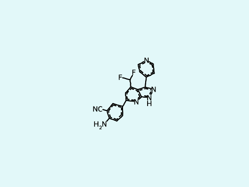 N#Cc1cc(-c2cc(C(F)F)c3c(-c4ccncc4)n[nH]c3n2)ccc1N